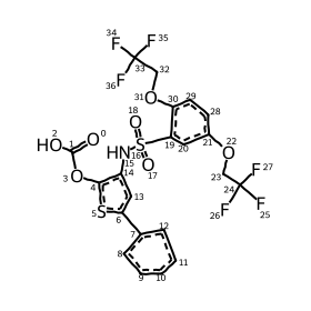 O=C(O)Oc1sc(-c2ccccc2)cc1NS(=O)(=O)c1cc(OCC(F)(F)F)ccc1OCC(F)(F)F